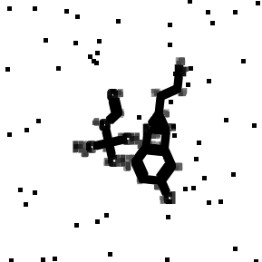 CC(C)(C)OC=O.Clc1ccc2c(c1)c1c(CCBr)n2-1